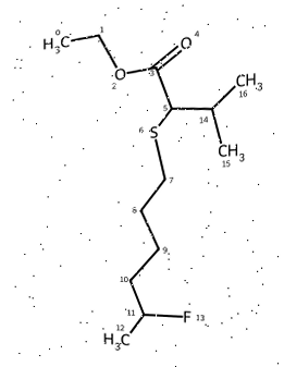 CCOC(=O)C(SCCCCC(C)F)C(C)C